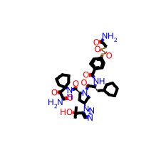 CC(C)(O)c1cnnn1[C@H]1C[C@@H](C(=O)NC2(C(=O)C(N)=O)CCCCC2)N(C(=O)[C@@H](CC2CCCCC2)NC(=O)c2ccc(S(=O)(=O)CC(N)=O)cc2)C1